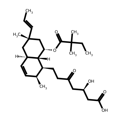 C/C=C/[C@]1(C)C[C@H](OC(=O)C(C)(C)CC)[C@@H]2[C@@H](CCC(=O)C[C@@H](O)CC(=O)O)[C@@H](C)C=C[C@H]2C1